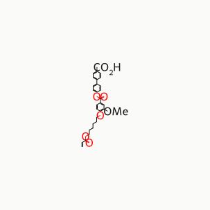 C=CC(=O)OCCCCCCOc1ccc(C(=O)Oc2ccc(-c3ccc(C(=O)O)cc3)cc2)cc1OC